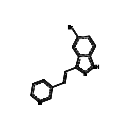 Brc1ccc2[nH]nc(C=Cc3cccnc3)c2c1